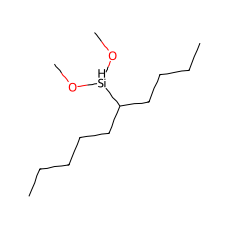 CCCCCC(CCCC)[SiH](OC)OC